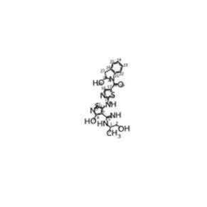 CC(CO)NC(=N)c1c(O)nsc1Nc1ncc(C(=O)N2c3ccccc3CC2O)s1